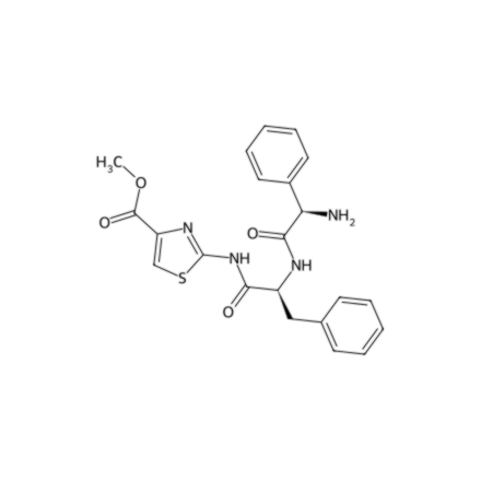 COC(=O)c1csc(NC(=O)[C@H](Cc2ccccc2)NC(=O)[C@H](N)c2ccccc2)n1